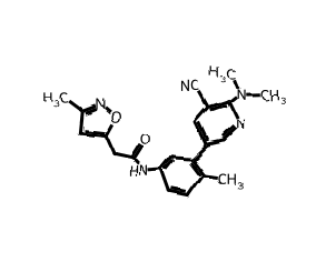 Cc1cc(CC(=O)Nc2ccc(C)c(-c3cnc(N(C)C)c(C#N)c3)c2)on1